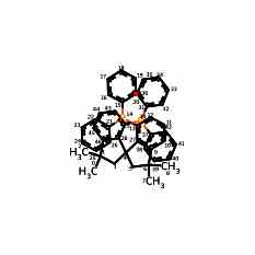 CC1(C)CC2(CC(C)(C)c3cccc(P(c4ccccc4)c4ccccc4)c32)c2c(P(c3ccccc3)c3ccccc3)cccc21